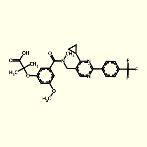 COc1cc(OC(C)(C)C(=O)O)cc(C(=O)N(C)Cc2cnc(-c3ccc(C(F)(F)F)cc3)nc2C2CC2)c1